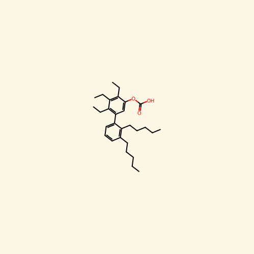 CCCCCc1cccc(-c2cc(OC(=O)O)c(CC)c(CC)c2CC)c1CCCCC